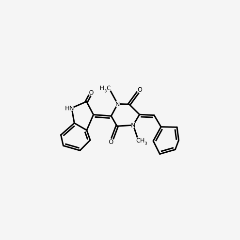 Cn1c(=O)c(=C2C(=O)Nc3ccccc32)n(C)c(=O)c1=Cc1ccccc1